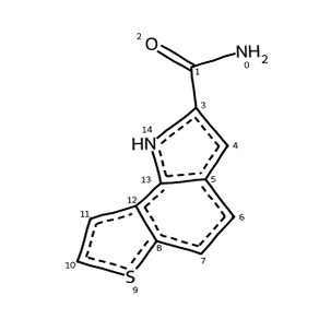 NC(=O)c1cc2ccc3sccc3c2[nH]1